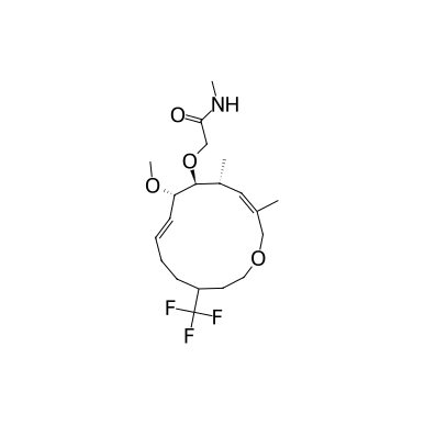 CNC(=O)CO[C@H]1[C@H](C)/C=C(/C)COCCC(C(F)(F)F)CC/C=C/[C@@H]1OC